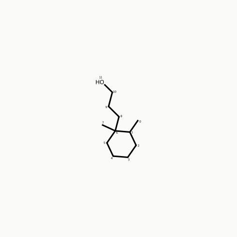 CC1CCCCC1(C)CCCO